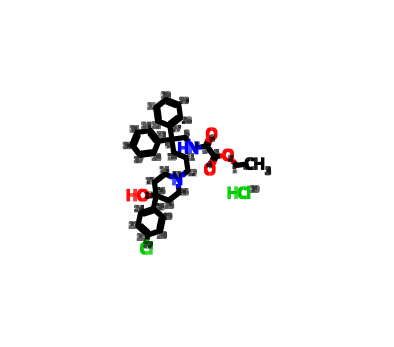 CCOC(=O)C(=O)NCC(CCCN1CCC(O)(c2ccc(Cl)cc2)CC1)(c1ccccc1)c1ccccc1.Cl